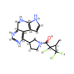 CC1C(F)(F)C1(F)C(=O)N1CCC(c2ncnc3cnc4[nH]ccc4c23)C1